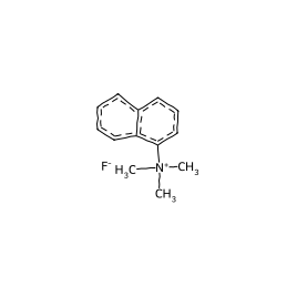 C[N+](C)(C)c1cccc2ccccc12.[F-]